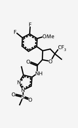 COc1c(C2CC(C)(C(F)(F)F)OC2C(=O)Nc2cn(S(C)(=O)=O)nc2C)ccc(F)c1F